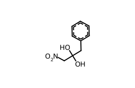 O=[N+]([O-])CC(O)(O)Cc1ccccc1